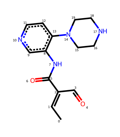 CC=C(C=O)C(=O)Nc1cnccc1N1CCNCC1